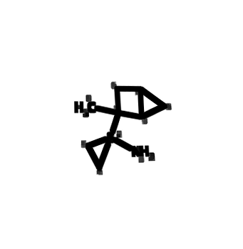 CC1(S2(N)CC2)CC2CC21